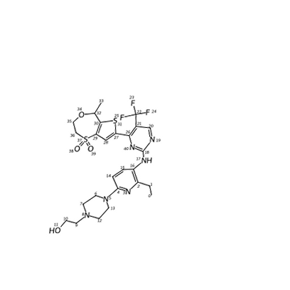 CCc1nc(N2CCN(CCO)CC2)ccc1Nc1ncc(C(F)(F)F)c(-c2cc3c(s2)C(C)OCCS3(=O)=O)n1